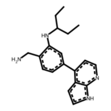 CCC(CC)Nc1cc(-c2ccnc3[nH]ccc23)ccc1CN